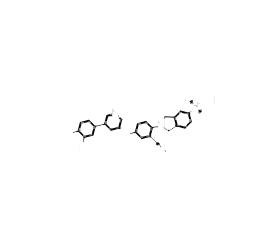 CS(=O)(=O)c1ccc2c(c1)CN(c1ccc(Oc3cncc(-c4ccc(F)c(F)c4)c3)cc1C#N)C2